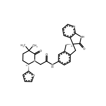 CC1(C)CC[C@@H](c2cccs2)N(CC(=O)Nc2ccc3c(c2)C[C@@]2(C3)C(=O)Nc3ncccc32)C1=O